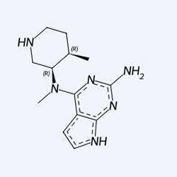 C[C@@H]1CCNC[C@@H]1N(C)c1nc(N)nc2[nH]ccc12